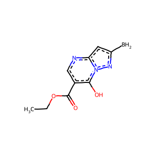 Bc1cc2ncc(C(=O)OCC)c(O)n2n1